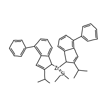 CC(C)C1=Cc2c(-c3ccccc3)cccc2[CH]1[Zr]([CH]1C(C(C)C)=Cc2c(-c3ccccc3)cccc21)=[Si](C)C